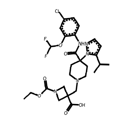 CCOC(=O)N1CC(CN2CCC(C(=O)Nc3ccc(Cl)cc3OC(F)F)(n3nccc3C(C)C)CC2)(C(=O)O)C1